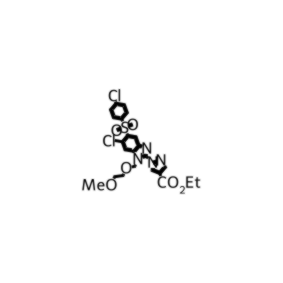 CCOC(=O)c1cnn(-c2nc3cc(S(=O)(=O)c4ccc(Cl)cc4)c(Cl)cc3n2COCCOC)c1